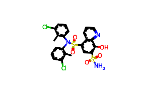 Cc1c(Cl)cccc1N(c1cccc(Cl)c1C)S(=O)(=O)c1cc(S(N)(=O)=O)c(O)c2ncccc12